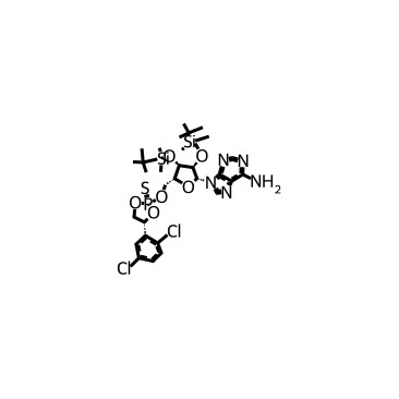 CC(C)(C)[Si](C)(C)O[C@@H]1[C@H](O[Si](C)(C)C(C)(C)C)[C@@H](COP2(=S)OC[C@@H](c3cc(Cl)ccc3Cl)O2)O[C@H]1n1cnc2c(N)ncnc21